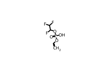 C=COP(=O)(O)OC(F)C(F)F